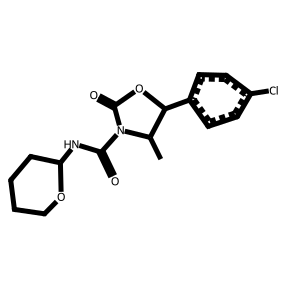 CC1C(c2ccc(Cl)cc2)OC(=O)N1C(=O)NC1CCCCO1